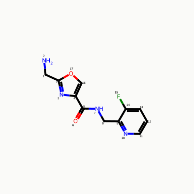 NCc1nc(C(=O)NCc2ncccc2F)co1